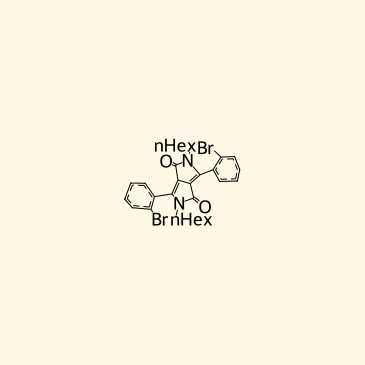 CCCCCCN1C(=O)C2=C(c3ccccc3Br)N(CCCCCC)C(=O)C2=C1c1ccccc1Br